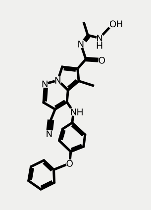 CC(=NC(=O)c1cn2ncc(C#N)c(Nc3ccc(Oc4ccccc4)cc3)c2c1C)NO